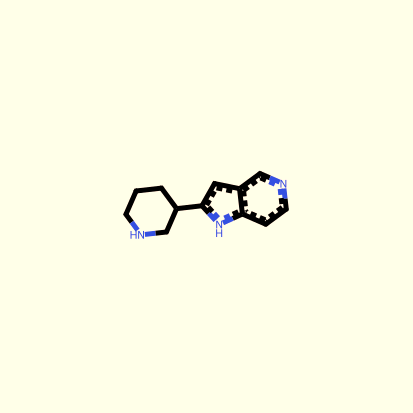 c1cc2[nH]c(C3CCCNC3)cc2cn1